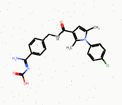 Cc1cc(C(=O)[AsH]Cc2ccc(C(N)=NC(=O)O)cc2)c(C)n1-c1ccc(Cl)cc1